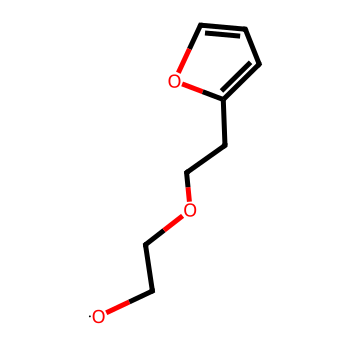 [O]CCOCCc1ccco1